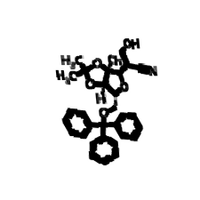 CC1(C)O[C@@H]2[C@@H](COC(c3ccccc3)(c3ccccc3)c3ccccc3)OC(C(C#N)=CO)[C@]2(C)O1